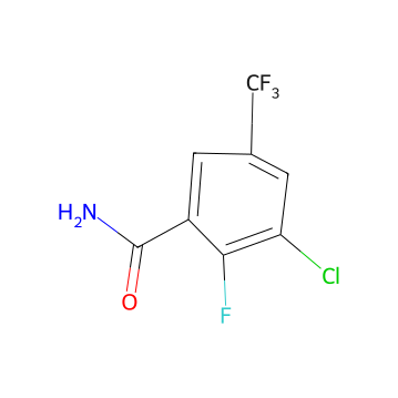 NC(=O)c1cc(C(F)(F)F)cc(Cl)c1F